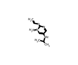 C=C/N=c1/ncc(NC(C)C)cn1N